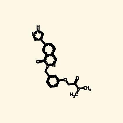 CN(C)C(=O)COc1cccc(Cn2ncc3ccc(-c4cn[nH]c4)cc3c2=O)c1